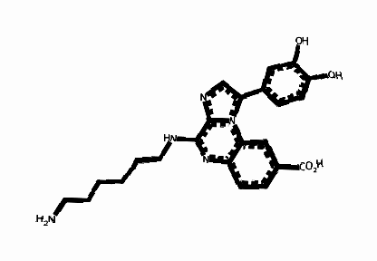 NCCCCCCNc1nc2ccc(C(=O)O)cc2n2c(-c3ccc(O)c(O)c3)cnc12